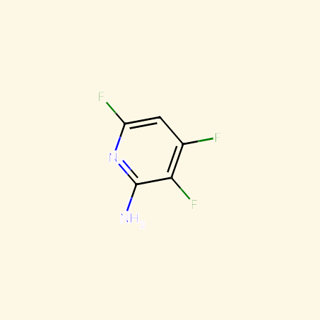 Nc1nc(F)cc(F)c1F